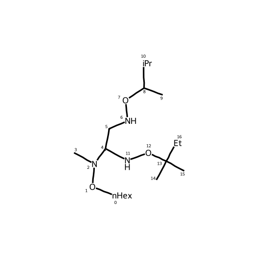 CCCCCCON(C)[C](CNOC(C)C(C)C)NOC(C)(C)CC